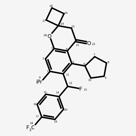 CC(C)c1cc2c(c(C3CCCC3)c1C(F)c1ccc(C(F)(F)F)cc1)C(=O)CC1(CCC1)O2